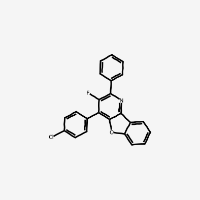 Fc1c(-c2ccccc2)nc2c(oc3ccccc32)c1-c1ccc(Cl)cc1